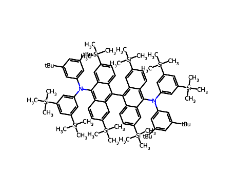 CC(C)(C)c1cc(N(c2cc([Si](C)(C)C)cc([Si](C)(C)C)c2)c2c3ccc([Si](C)(C)C)cc3c(-c3c4cc([Si](C)(C)C)ccc4c(N(c4cc(C(C)(C)C)cc(C(C)(C)C)c4)c4cc([Si](C)(C)C)cc([Si](C)(C)C)c4)c4cc([Si](C)(C)C)ccc34)c3ccc([Si](C)(C)C)cc23)cc(C(C)(C)C)c1